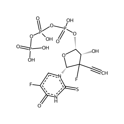 C#CC1(F)[C@@H](O)[C@@H](OP(=O)(O)OP(=O)(O)OP(=O)(O)O)O[C@H]1n1cc(F)c(=O)[nH]c1=S